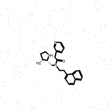 O=C(Cc1cccnc1)N(CCc1cccc2ccccc12)C[C@H]1NCC[C@H]1S